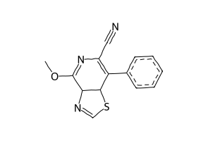 COC1=NC(C#N)=C(c2ccccc2)C2SC=NC12